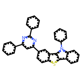 c1ccc(-c2cc(-c3ccc4sc5c6ccccc6n(-c6ccccc6)c5c4c3)nc(-c3ccccc3)n2)cc1